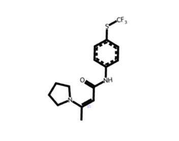 C/C(=C/C(=O)Nc1ccc(SC(F)(F)F)cc1)N1CCCC1